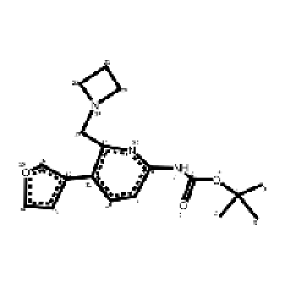 CC(C)(C)OC(=O)Nc1ccc(-c2ccoc2)c(CN2CCC2)n1